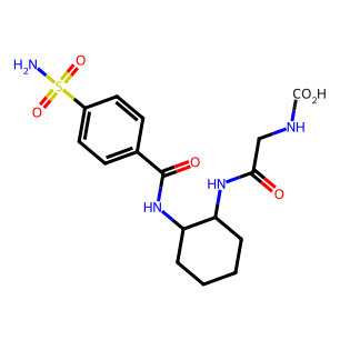 NS(=O)(=O)c1ccc(C(=O)NC2CCCCC2NC(=O)CNC(=O)O)cc1